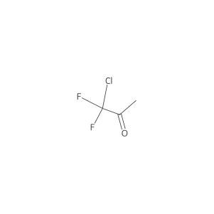 CC(=O)C(F)(F)Cl